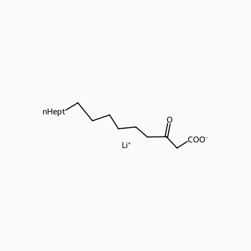 CCCCCCCCCCCCCC(=O)CC(=O)[O-].[Li+]